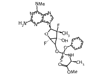 CNc1nc(N)nc2c1ncn2[C@@H]1O[C@]2(F)C(OP(=S)(N[C@@H](C)C(=O)OC)Oc3ccccc3)[C@]2(O)[C@@]1(C)F